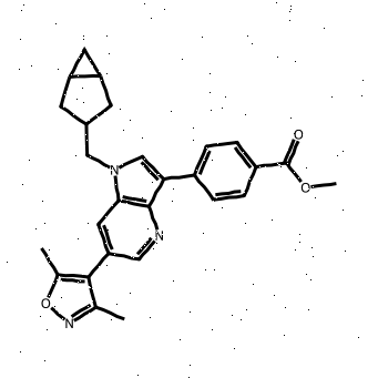 COC(=O)c1ccc(-c2cn(CC3CC4CC4C3)c3cc(-c4c(C)noc4C)cnc23)cc1